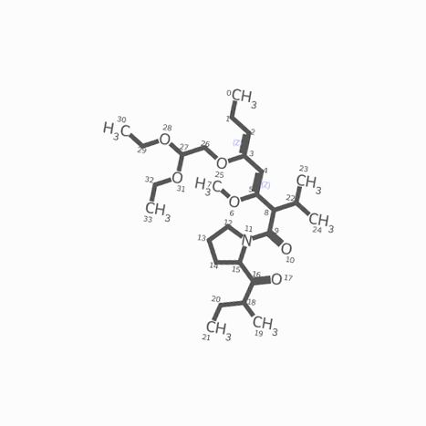 CC/C=C(/C=C(\OC)C(C(=O)N1CCCC1C(=O)C(C)CC)C(C)C)OCC(OCC)OCC